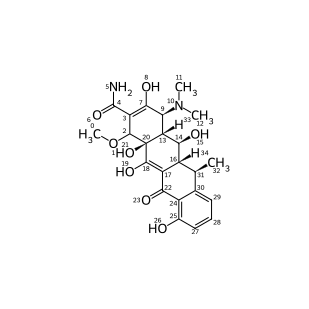 COC1C(C(N)=O)=C(O)[C@@H](N(C)C)[C@@H]2[C@@H](O)[C@H]3C(=C(O)[C@]12O)C(=O)c1c(O)cccc1[C@@H]3C